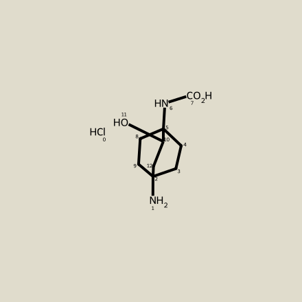 Cl.NC12CCC(NC(=O)O)(CC1)C(O)C2